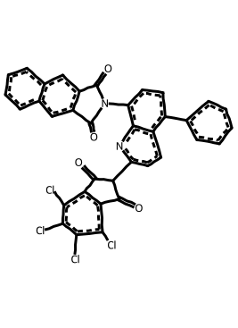 O=C1c2c(Cl)c(Cl)c(Cl)c(Cl)c2C(=O)C1c1ccc2c(-c3ccccc3)ccc(N3C(=O)c4cc5ccccc5cc4C3=O)c2n1